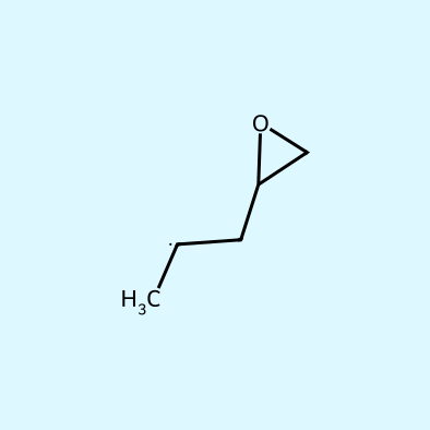 C[CH]CC1CO1